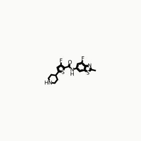 Cc1nc2c(F)cc(NC(=O)c3sc(C4CCNCC4)cc3F)cc2s1